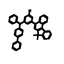 CC1(C)c2ccccc2-c2c1cc(-c1cc(Cl)cc(N(c3ccccc3)c3ccc(-c4ccccc4)cc3)c1)c1ccccc21